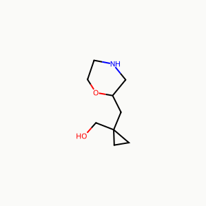 OCC1(CC2CNCCO2)CC1